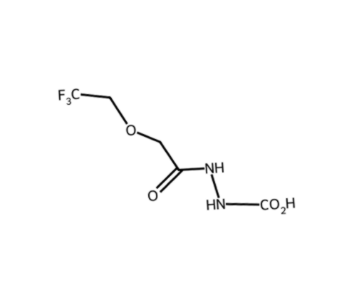 O=C(O)NNC(=O)COCC(F)(F)F